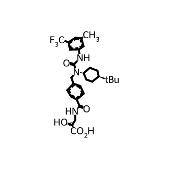 Cc1cc(NC(=O)N(Cc2ccc(C(=O)NC[C@@H](O)C(=O)O)cc2)[C@H]2CC[C@H](C(C)(C)C)CC2)cc(C(F)(F)F)c1